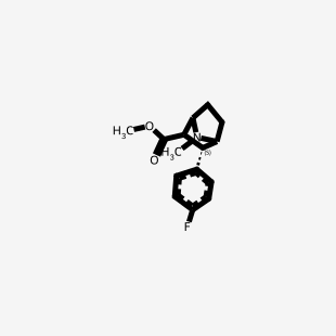 COC(=O)C1C2CCC([C@@H]1c1ccc(F)cc1)N2C